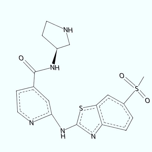 CS(=O)(=O)c1ccc2nc(Nc3cc(C(=O)N[C@H]4CCNC4)ccn3)sc2c1